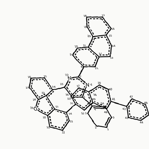 C1=CCCC(c2nc(-c3ccc4c(ccc5ccccc54)c3)nc(-c3cccc4oc5cccc(-c6ccc7ccc(-c8ccccc8)cc7c6)c5c34)n2)=C1